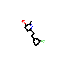 Cc1nc(C=Cc2cccc(Cl)c2)ccc1O